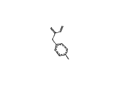 C=CC(=C)Cc1ccc(C)cc1